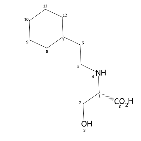 O=C(O)[C@H](CO)NCCC1CCCCC1